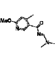 COc1cc(C)c(C(=O)/N=C/N(C)C)cn1